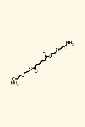 NOCCOCCOC(=O)CCCCC(=O)OCCOCCON